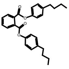 CCCCc1ccc(OC(=O)c2ccccc2C(=O)Oc2ccc(CCCC)cc2)cc1